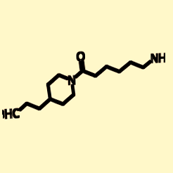 NCCCCCC(=O)N1CCC(CCC=O)CC1